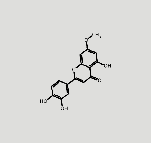 COc1cc(O)c2c(=O)cc(-c3ccc(O)c(O)c3)oc2c1